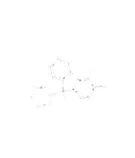 Cc1ccc(C2(O)c3ccccc3C3=NCCCN32)cc1Br.Cl